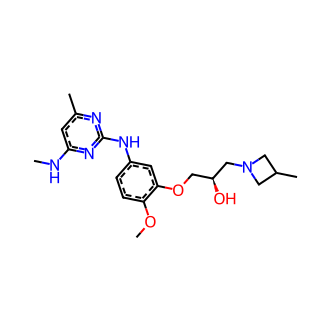 CNc1cc(C)nc(Nc2ccc(OC)c(OC[C@H](O)CN3CC(C)C3)c2)n1